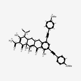 COc1ccc(C#Cc2cc(C#Cc3ccc(OC)cc3)c3c(c2O)C(=O)C2=C(O)C4(O)C(=O)C(C(N)=O)=C(O)C(N(C)C)C4CC2C3)cc1